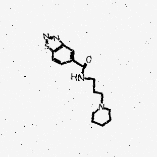 O=C(NCCCN1CCCCC1)c1ccc2snnc2c1